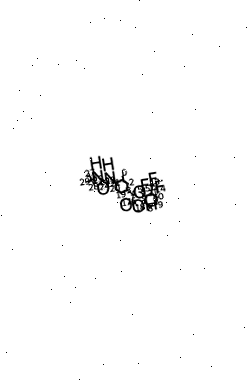 Cc1cc(C(Oc2ccccc2C(F)(F)F)C(=O)O)ccc1NC(=O)NC(C)(C)C